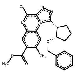 COC(=O)c1cc2nc(Cl)c3nnc([C@@H]4CCC[C@@H]4OCc4ccccc4)n3c2cc1C